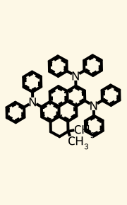 CC1(C)CCc2cc(N(c3ccccc3)c3ccccc3)c3ccc4c(N(c5ccccc5)c5ccccc5)cc(N(c5ccccc5)c5ccccc5)c5cc1c2c3c45